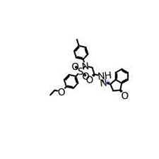 CCOc1ccc(S(=O)(=O)N(CC(=O)N/N=C2/CC(=O)c3ccccc32)c2ccc(C)cc2)cc1